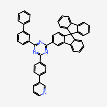 c1ccc(-c2cccc(-c3nc(-c4ccc(-c5cccnc5)cc4)nc(-c4ccc5c(c4)-c4ccccc4C54c5ccccc5-c5ccccc54)n3)c2)cc1